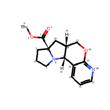 CC(C)(C)OC(=O)[C@]12CCCN1[C@H]1c3cccnc3OC[C@H]1C2